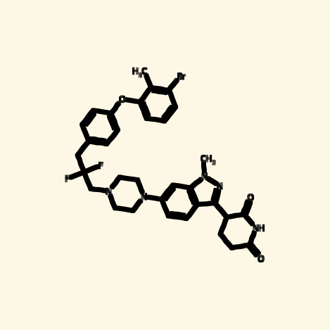 Cc1c(Br)cccc1Oc1ccc(CC(F)(F)CN2CCN(c3ccc4c(C5CCC(=O)NC5=O)nn(C)c4c3)CC2)cc1